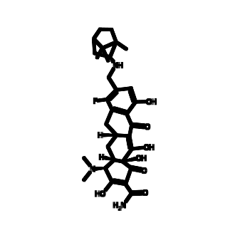 CN(C)[C@@H]1C(O)=C(C(N)=O)C(=O)[C@@]2(O)C(O)=C3C(=O)c4c(O)cc(CN[C@H]5CC6CCC5(C)C6(C)C)c(F)c4C[C@H]3C[C@@H]12